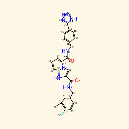 Cc1cc(CNC(=O)c2cn3c(C(=O)NCc4ccc(-c5nnn[nH]5)cc4)cccc3n2)ccc1F